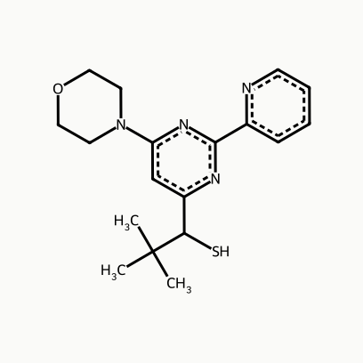 CC(C)(C)C(S)c1cc(N2CCOCC2)nc(-c2ccccn2)n1